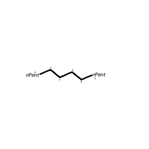 [CH]CCCC[CH]CCCCCCC[CH]